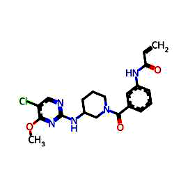 C=CC(=O)Nc1cccc(C(=O)N2CCCC(Nc3ncc(Cl)c(OC)n3)C2)c1